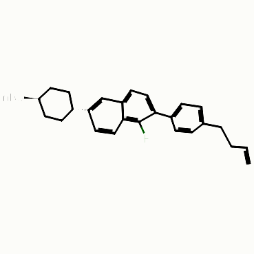 C=CCCc1ccc(-c2ccc3cc([C@H]4CC[C@H](CCCC)CC4)ccc3c2F)cc1